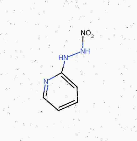 O=[N+]([O-])NNc1ccccn1